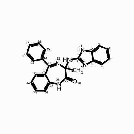 CC1(Nc2nc3ccccc3[nH]2)N=C(c2ccccc2)c2ccccc2NC1=O